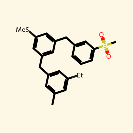 CCc1cc(C)cc(Cc2cc(Cc3cccc(S(C)(=O)=O)c3)cc(SC)c2)c1